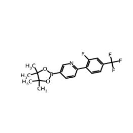 CC1(C)OB(c2ccc(-c3ccc(C(F)(F)F)cc3F)nc2)OC1(C)C